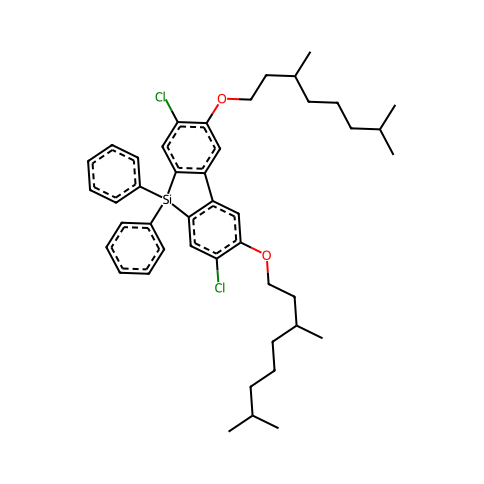 CC(C)CCCC(C)CCOc1cc2c(cc1Cl)[Si](c1ccccc1)(c1ccccc1)c1cc(Cl)c(OCCC(C)CCCC(C)C)cc1-2